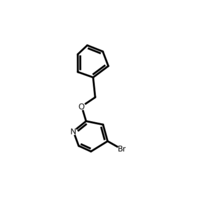 Brc1ccnc(OCc2ccccc2)c1